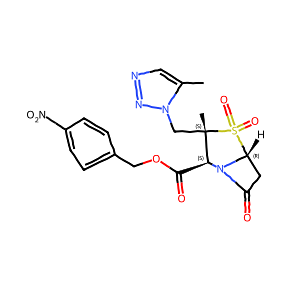 Cc1cnnn1C[C@@]1(C)[C@H](C(=O)OCc2ccc([N+](=O)[O-])cc2)N2C(=O)C[C@H]2S1(=O)=O